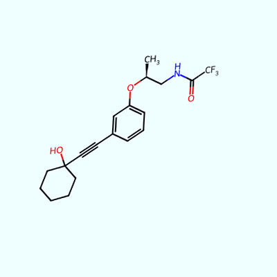 C[C@@H](CNC(=O)C(F)(F)F)Oc1cccc(C#CC2(O)CCCCC2)c1